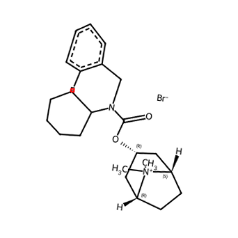 C[N+]1(C)[C@@H]2CC[C@H]1C[C@@H](OC(=O)N(Cc1ccccc1F)C1CCCCC1)C2.[Br-]